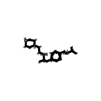 CC(C)NCc1ccc(CC(C)NCCN2CCOCC2)cc1